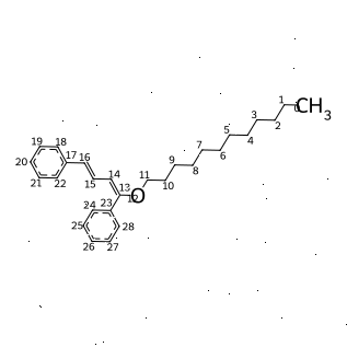 CCCCCCCCCCCCO/C(=C/C=C/c1ccccc1)c1ccccc1